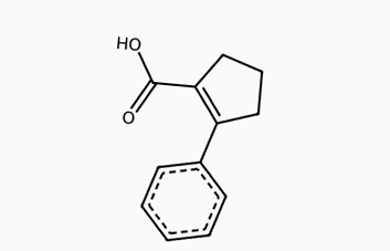 O=C(O)C1=C(c2ccccc2)CCC1